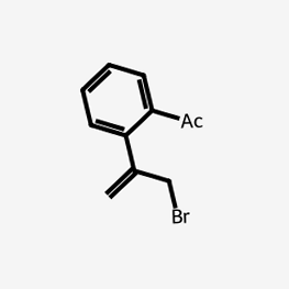 C=C(CBr)c1ccccc1C(C)=O